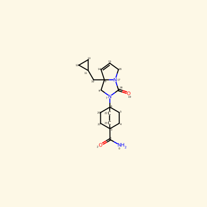 NC(=O)C12CCC(N3CC4(CC5CC5)C=CCN4C3=O)(CC1)CC2